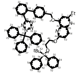 CCc1cc(OCc2ccc(-c3ccccc3-c3nnn(C(c4ccccc4)(c4ccccc4)c4ccccc4)n3)cc2)c2nc(OCCO[Si](c3ccccc3)(c3ccccc3)C(C)(C)C)ccc2n1